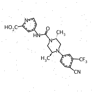 C[C@@H]1CN(c2ccc(C#N)c(C(F)(F)F)c2)[C@@H](C)CN1C(=O)Nc1ccnc(C(=O)O)c1